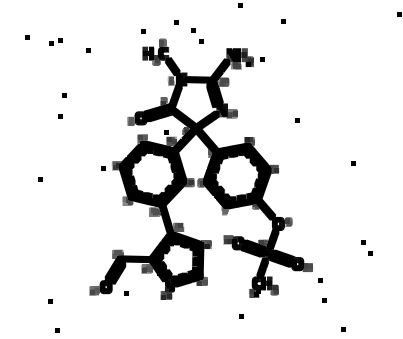 CN1C(=O)C(c2ccc(OS(C)(=O)=O)cc2)(c2cccc(-c3ccsc3C=O)c2)N=C1N